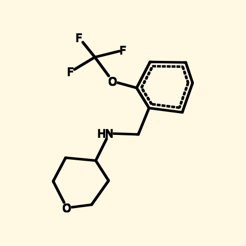 FC(F)(F)Oc1ccccc1CNC1CCOCC1